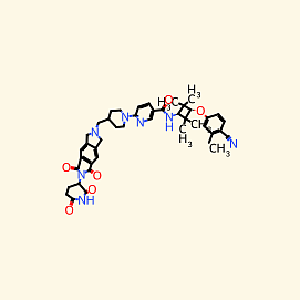 CCc1cc(O[C@H]2C(C)(C)[C@H](NC(=O)c3ccc(N4CCC(CN5Cc6cc7c(cc6C5)C(=O)N(C5CCC(=O)NC5=O)C7=O)CC4)nc3)C2(C)C)ccc1C#N